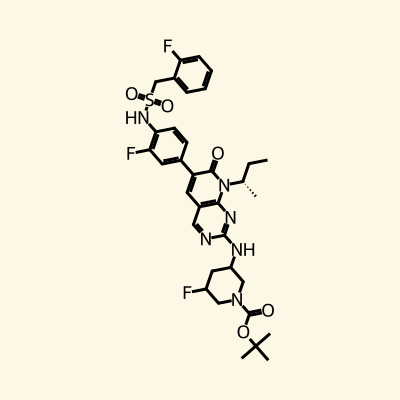 CC[C@H](C)n1c(=O)c(-c2ccc(NS(=O)(=O)Cc3ccccc3F)c(F)c2)cc2cnc(NC3CC(F)CN(C(=O)OC(C)(C)C)C3)nc21